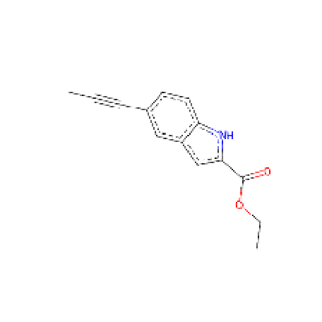 CC#Cc1ccc2[nH]c(C(=O)OCC)cc2c1